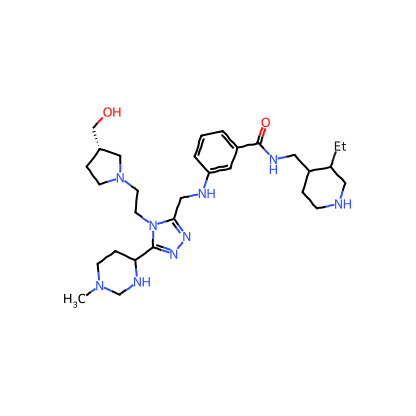 CCC1CNCCC1CNC(=O)c1cccc(NCc2nnc(C3CCN(C)CN3)n2CCN2CC[C@H](CO)C2)c1